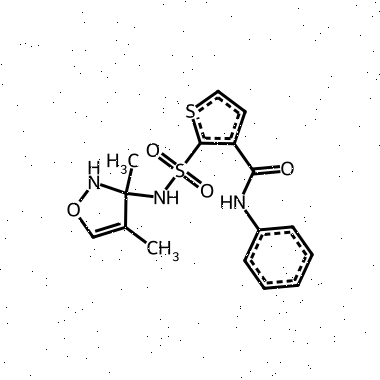 CC1=CONC1(C)NS(=O)(=O)c1sccc1C(=O)Nc1ccccc1